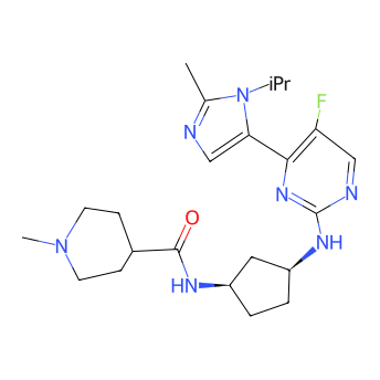 Cc1ncc(-c2nc(N[C@H]3CC[C@@H](NC(=O)C4CCN(C)CC4)C3)ncc2F)n1C(C)C